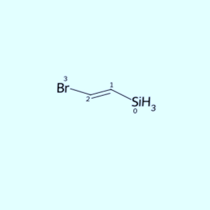 [SiH3]C=CBr